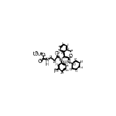 Cc1ccccc1C(C(=O)NC1CCCCC1)N(C(=O)CCNC(=O)OC(C)(C)C)c1cccc(F)c1